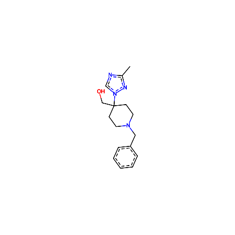 Cc1ncn(C2(CO)CCN(Cc3ccccc3)CC2)n1